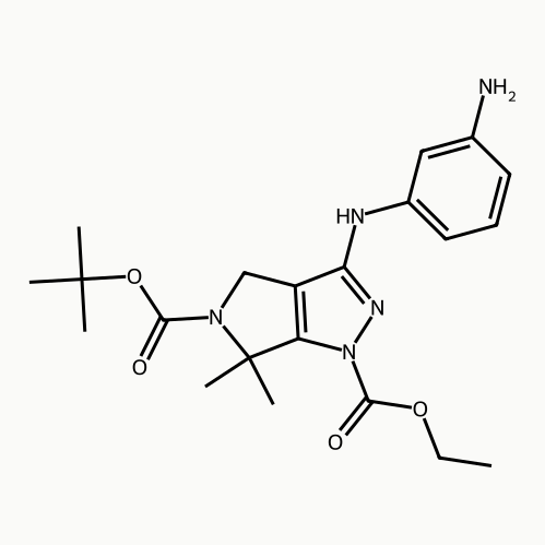 CCOC(=O)n1nc(Nc2cccc(N)c2)c2c1C(C)(C)N(C(=O)OC(C)(C)C)C2